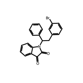 O=C1C(=O)N(C(Cc2cccc(Br)c2)c2ccccc2)c2ccccc21